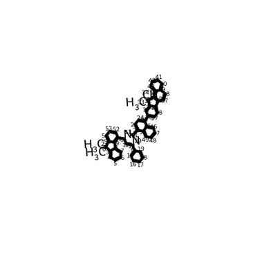 CC1(C)c2ccccc2-c2c(-c3cc(-c4ccccc4)nc(-c4ccc(-c5ccc6c(c5)C(C)(C)c5c-6ccc6ccccc56)c5ccccc45)n3)cccc21